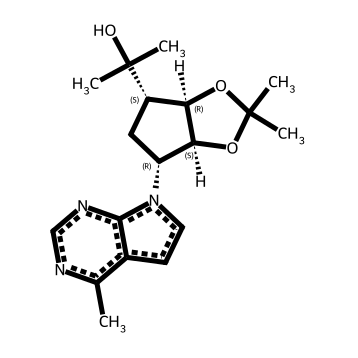 Cc1ncnc2c1ccn2[C@@H]1C[C@H](C(C)(C)O)[C@H]2OC(C)(C)O[C@H]21